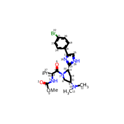 COC(=O)N[C@H](C(=O)N1C[C@@H](N(C)C)C[C@H]1c1nc(-c2ccc(Br)cc2)c[nH]1)C(C)C